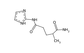 CC(CCC(=O)Nc1ncc[nH]1)C(N)=O